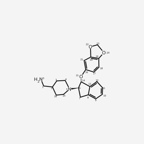 NCC1CCN([C@@H]2Cc3ccccc3[C@H]2Oc2ccc3c(c2)OCO3)CC1